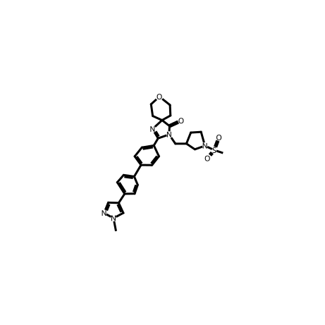 Cn1cc(-c2ccc(-c3ccc(C4=NC5(CCOCC5)C(=O)N4CC4CCN(S(C)(=O)=O)C4)cc3)cc2)cn1